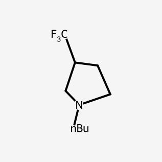 CCCCN1CCC(C(F)(F)F)C1